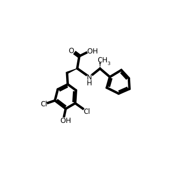 C[C@@H](N[C@@H](Cc1cc(Cl)c(O)c(Cl)c1)C(=O)O)c1ccccc1